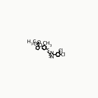 COC(=O)C1(Oc2ccc(SCc3nc(-c4ccc(Cl)c(Cl)c4)ns3)cc2C)CCCC1